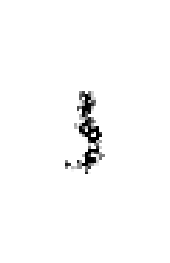 NC(=O)c1ccc(Oc2ccc3c(c2)CCC3NCC(F)(F)C(F)(F)C(F)(F)F)nc1